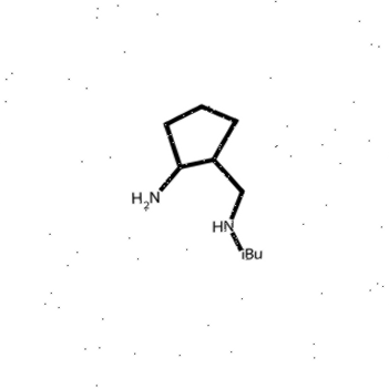 CCC(C)NCC1CCCC1N